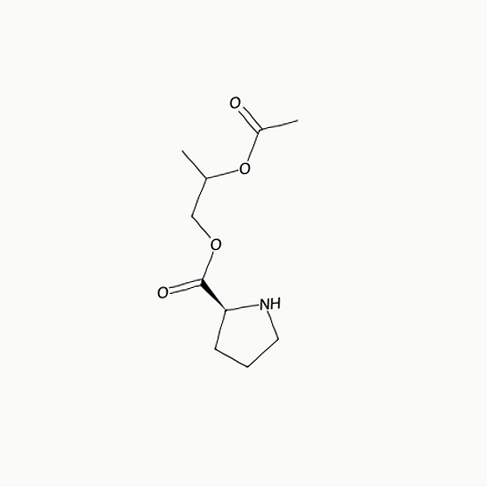 CC(=O)OC(C)COC(=O)[C@@H]1CCCN1